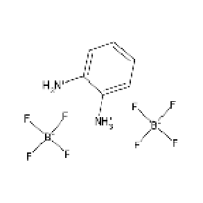 F[B-](F)(F)F.F[B-](F)(F)F.[NH3+]c1ccccc1[NH3+]